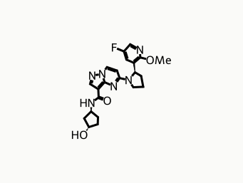 COc1ncc(F)cc1[C@H]1CCCN1c1ccn2ncc(C(=O)N[C@H]3CC[C@H](O)C3)c2n1